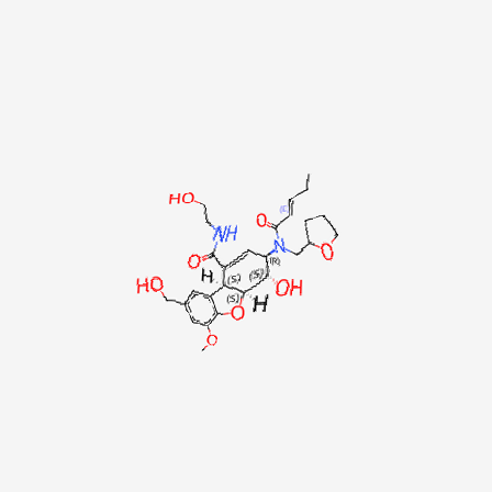 CC/C=C/C(=O)N(CC1CCCO1)[C@@H]1C=C(C(=O)NCCO)[C@@H]2c3cc(CO)cc(OC)c3O[C@@H]2[C@H]1O